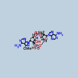 COc1nn([C@@H]2C[C@@H]3OP(=O)(S)O[C@H]4[C@@H](F)[C@H](n5cnc6c(N)ncnc65)O[C@@H]4CCOP(=O)(S)O[C@@H]2[C@@H]3O)c2ncnc(N)c12